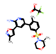 Cc1cc(-c2cc(-c3cc(S(=O)(=O)N4CCOC[C@@H]4C)ccc3C)cnc2N)on1.O=C(O)C(F)(F)F